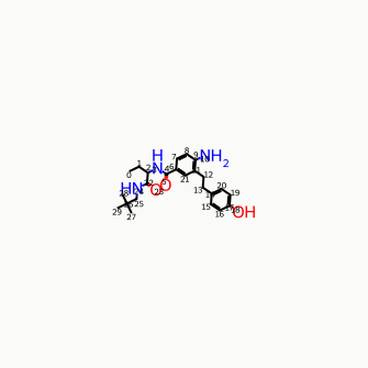 CCC(NC(=O)c1ccc(N)c(CCc2ccc(O)cc2)c1)C(=O)NCC(C)(C)C